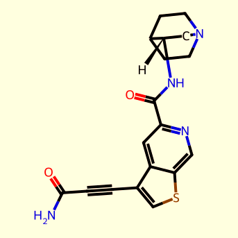 NC(=O)C#Cc1csc2cnc(C(=O)N[C@H]3CN4CCC3CC4)cc12